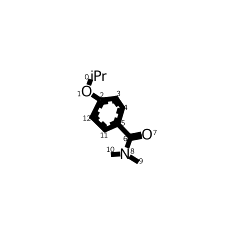 CC(C)Oc1ccc(C(=O)N(C)C)cc1